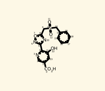 O=C(O)c1cnc(-c2noc(CS(=O)(=O)Cc3ccccc3)n2)c(O)c1